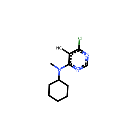 CN(c1ncnc(Cl)c1C#N)C1CCCCC1